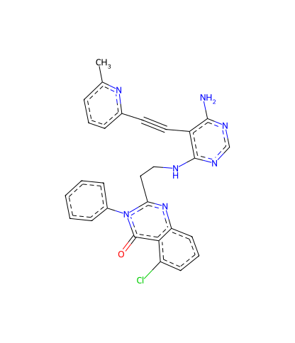 Cc1cccc(C#Cc2c(N)ncnc2NCCc2nc3cccc(Cl)c3c(=O)n2-c2ccccc2)n1